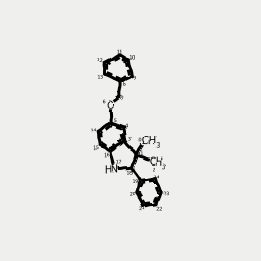 CC1(C)c2cc(OCc3ccccc3)ccc2NC1c1ccccc1